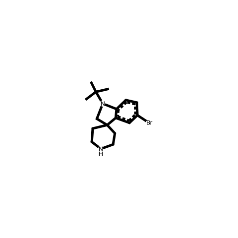 CC(C)(C)N1CC2(CCNCC2)c2cc(Br)ccc21